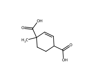 CC1(C(=O)O)C=CC(C(=O)O)CC1